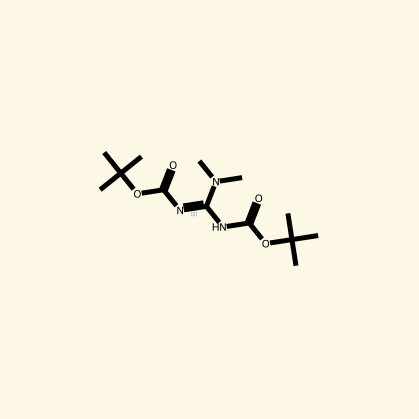 CN(C)/C(=N\C(=O)OC(C)(C)C)NC(=O)OC(C)(C)C